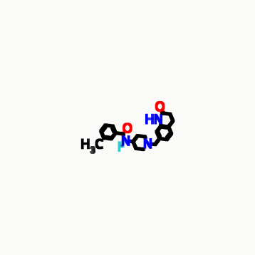 Cc1cccc(C(=O)N(F)C2CCN(Cc3ccc4c(c3)NC(=O)CC4)CC2)c1